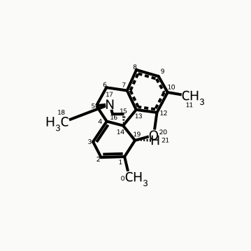 CC1=CC=C2C3Cc4ccc(C)c5c4[C@@]2(CCN3C)[C@H]1O5